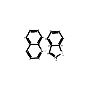 c1ccc2ncccc2c1.c1ccc2oncc2c1